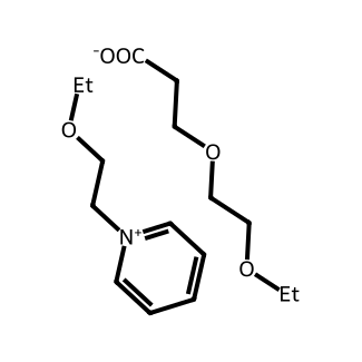 CCOCCOCCC(=O)[O-].CCOCC[n+]1ccccc1